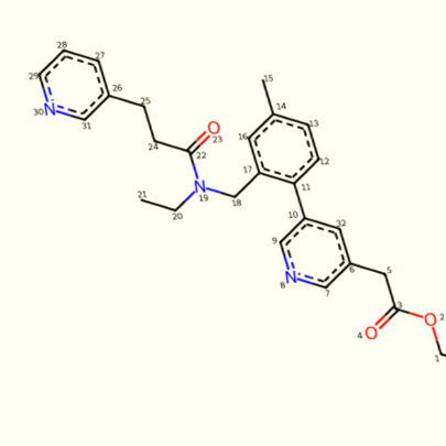 CCOC(=O)Cc1cncc(-c2ccc(C)cc2CN(CC)C(=O)CCc2cccnc2)c1